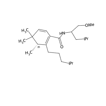 COCC(CC(C)C)NC(=O)C1=C(CCCC(C)C)[C@H](C)C(C)(C)C=C1